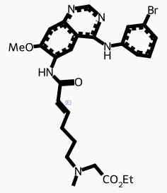 CCOC(=O)CN(C)CCC/C=C/C(=O)Nc1cc2c(Nc3cccc(Br)c3)ncnc2cc1OC